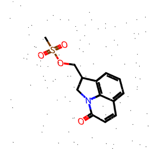 CS(=O)(=O)OCC1Cn2c(=O)ccc3cccc1c32